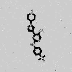 CP(C)(=O)c1ccc(Nc2ncc(C(F)(F)F)c(-c3cnn(C4CCNCC4)c3)n2)cc1